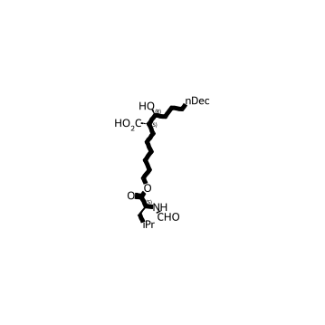 CCCCCCCCCCCCC[C@@H](O)[C@H](CCCCCCOC(=O)[C@H](CC(C)C)NC=O)C(=O)O